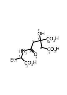 CCC(NC(=O)CC(O)(CC(=O)O)C(=O)O)C(=O)O